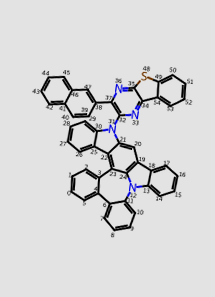 c1ccc2c(c1)-c1ccccc1-n1c3ccccc3c3cc4c(c-2c31)c1ccccc1n4-c1nc2c(nc1-c1ccc3ccccc3c1)sc1ccccc12